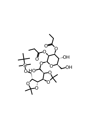 CCC(=O)O[C@@H]1[C@H](OC(O)[C@H]2OC(C)(C)O[C@H]2[C@@H]2OC(C)(C)O[C@@H]2CO[Si](C)(C)C(C)(C)C)O[C@H](CO)[C@@H](O)[C@@H]1OC(=O)CC